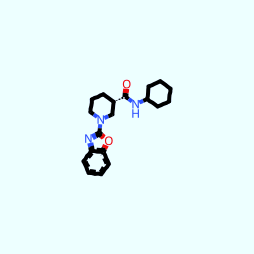 O=C(NC1CCCCC1)[C@H]1CCCN(c2nc3ccccc3o2)C1